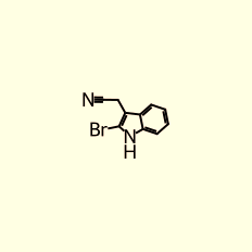 N#CCc1c(Br)[nH]c2ccccc12